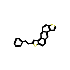 c1ccc(CCc2cc3c(ccc4cc5c(ccc6sccc65)cc43)s2)cc1